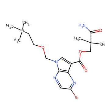 CC(C)(COC(=O)c1cn(COCC[Si](C)(C)C)c2ncc(Br)nc12)C(N)=O